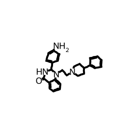 Nc1ccc(C2NC(=O)c3ccccc3N2CCN2CCC(c3ccccc3)CC2)cc1